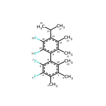 Cc1c(C)c(F)c(F)c(-c2c(C)c(C)c(C(C)C)c(F)c2F)c1C